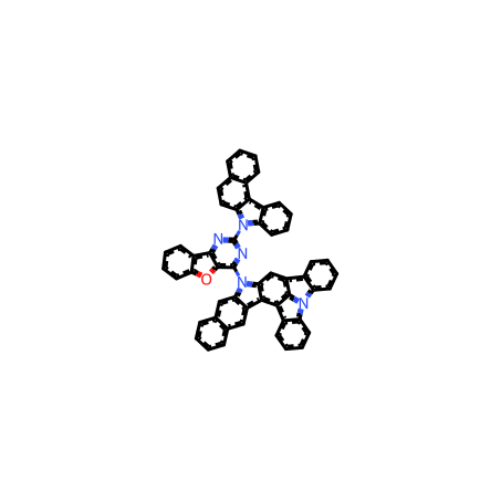 c1ccc2cc3c(cc2c1)c1c2c4ccccc4n4c5ccccc5c(cc1n3-c1nc(-n3c5ccccc5c5c6ccccc6ccc53)nc3c1oc1ccccc13)c24